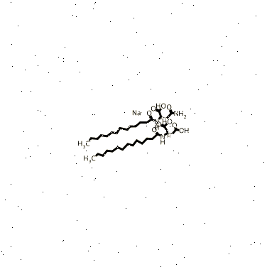 CCCCCCCCCCCCCC(=O)N[C@@H](CC(=O)O)C(=O)O.CCCCCCCCCCCCCC(=O)N[C@@H](CC(N)=O)C(=O)O.[Na]